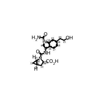 NC(=O)n1cc(NC(=O)N2[C@@H]3C[C@@H]3C[C@H]2C(=O)O)c2ccc(CCO)cc21